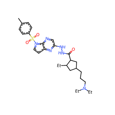 CCC1CC(CCCN(CC)CC)CC1C(=O)NNc1cnc2c(ccn2S(=O)(=O)c2ccc(C)cc2)n1